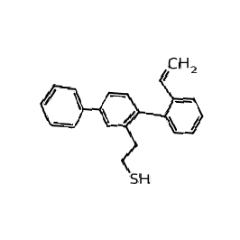 C=Cc1ccccc1-c1ccc(-c2ccccc2)cc1CCS